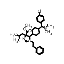 COC(=O)C1(CC(C)C)N=CN(CCc2ccccc2)C1C1CCC(C(c2ccc(Cl)cc2)N(C)C)CC1